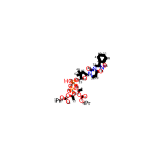 CC(C)OC(=O)OC(C)OP(=O)(OC(C)OC(=O)OC(C)C)OP(=O)(O)OC[C@H]1O[C@@H](n2ccc(=O)n(Cc3noc4ccccc34)c2=O)CC1(C)C